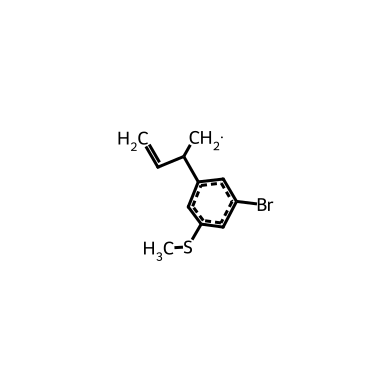 [CH2]C(C=C)c1cc(Br)cc(SC)c1